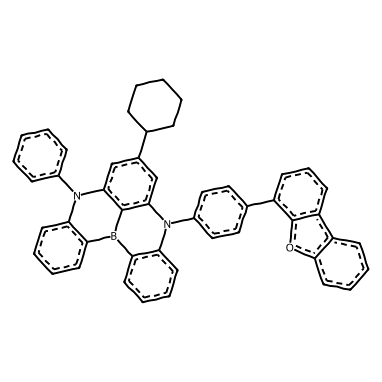 c1ccc(N2c3ccccc3B3c4ccccc4N(c4ccc(-c5cccc6c5oc5ccccc56)cc4)c4cc(C5CCCCC5)cc2c43)cc1